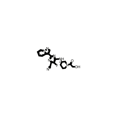 N#Cc1nc(-c2cnn3ccccc23)nc(N[C@@H]2CCCN(C(=O)CO)C2)c1F